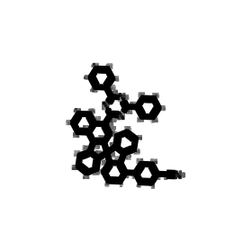 N#Cc1ccc(-c2cccc3c2-c2ccccc2C32c3ccccc3-c3c2cc(-c2nc(-c4ccccc4)nc(-c4ccccc4)n2)c2ccccc32)cc1